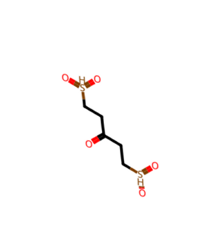 O=C(CC[SH](=O)=O)CC[SH](=O)=O